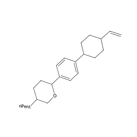 C=CC1CCC(c2ccc(C3CCC(CCCCC)CO3)cc2)CC1